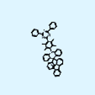 Cc1c(C)c(N2c3ccccc3C(c3ccccc3)(c3cccc4c3C(C)(C)c3ccccc3-4)c3ccccc32)c(C)c(C)c1-c1nc(-c2ccccc2)nc(-c2ccccc2)n1